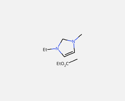 CCN1C=CN(C)C1.CCOC(C)=O